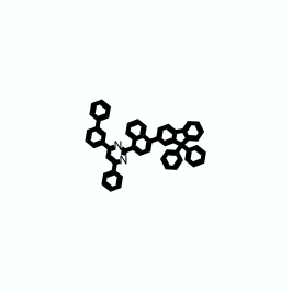 c1ccc(-c2cccc(-c3cc(-c4ccccc4)nc(-c4ccc(-c5ccc6c(c5)C(c5ccccc5)(c5ccccc5)c5ccccc5-6)c5ccccc45)n3)c2)cc1